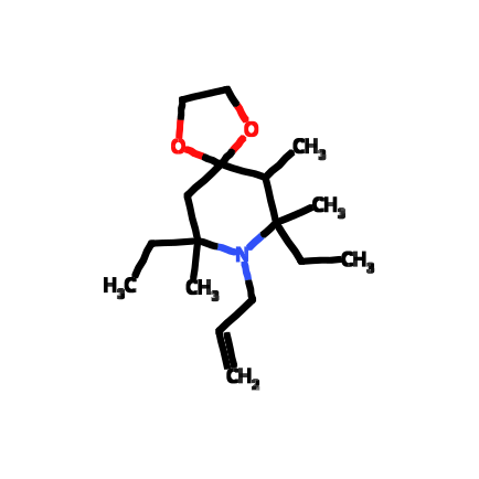 C=CCN1C(C)(CC)CC2(OCCO2)C(C)C1(C)CC